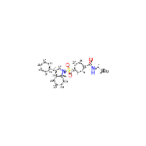 CCC(C)CNC(=O)c1ccc(S(=O)(=O)n2cc(-c3ccccc3)c3ccccc32)cc1